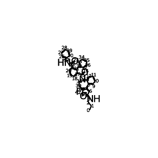 CCCNC(=O)C=C1c2ccccc2N(C(=O)c2cccc(C(=O)Nc3ccccc3)c2-c2ccccc2)CCC1(F)F